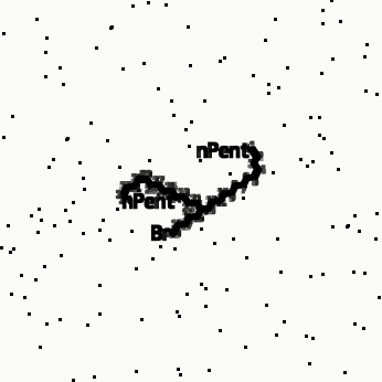 CCCCC/C=C\C/C=C\CCCCCCCCC(CCCCCBr)CCCCCCCC/C=C\C/C=C\CCCCC